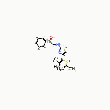 C=C(C)SC(=C(C)C)c1csc(NCC(O)c2ccccc2)n1